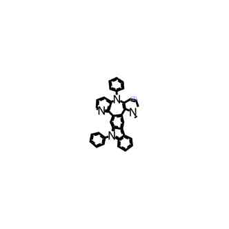 C=NC1=C(/C=C\C)N(c2ccccc2)c2cccnc2-c2cc3c(cc21)c1ccccc1n3-c1ccccc1